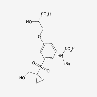 CC(C)(C)NC(=O)O.O=C(O)[C@@H](O)COc1cccc(S(=O)(=O)C2(CO)CC2)c1